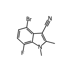 Cc1c(C#N)c2c(Br)ccc(F)c2n1C